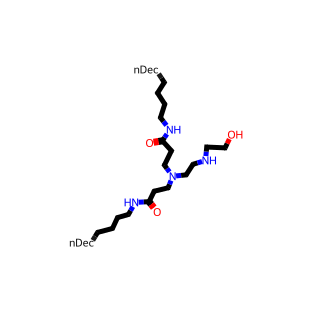 CCCCCCCCCCCCCCNC(=O)CCN(CCNCCO)CCC(=O)NCCCCCCCCCCCCCC